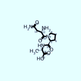 C[C@H](NC(=O)[C@@H]1CCCN1C(=O)[C@@H](N)CC(N)=O)C(=O)O